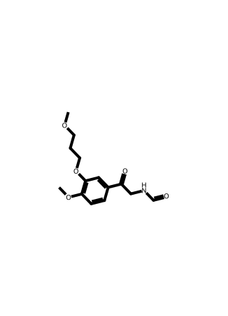 COCCCOc1cc(C(=O)CNC=O)ccc1OC